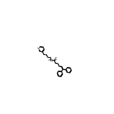 O=C(CCCC=C(c1ccccc1)c1ccccc1)NCCCCc1cccnc1